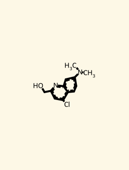 CN(C)c1ccc2c(Cl)cc(CO)nc2c1